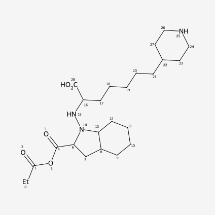 CCC(=O)OC(=O)C1CC2CCCCC2N1NC(CCCCCC1CCNCC1)C(=O)O